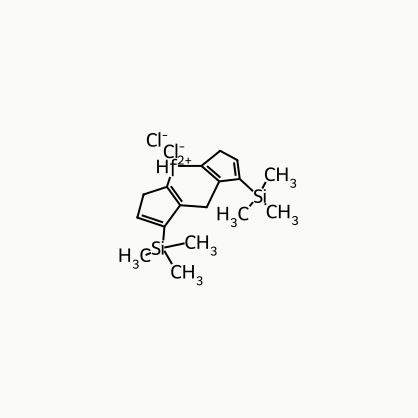 C[Si](C)(C)C1=CC[C]2=C1CC1=[C](CC=C1[Si](C)(C)C)[Hf+2]2.[Cl-].[Cl-]